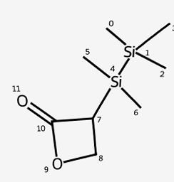 C[Si](C)(C)[Si](C)(C)C1COC1=O